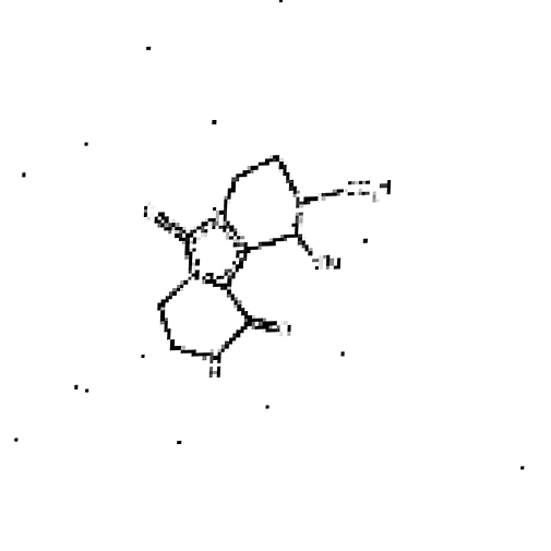 CC(C)(C)C1c2c3n(c(=O)n2CCN1C(=O)O)CCNC3=O